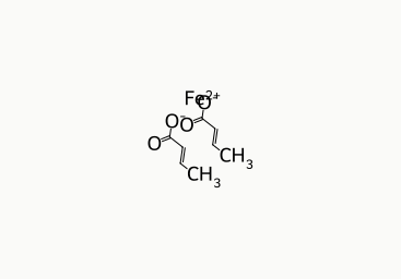 C/C=C/C(=O)[O-].C/C=C/C(=O)[O-].[Fe+2]